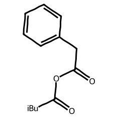 CCC(C)C(=O)OC(=O)Cc1ccccc1